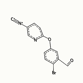 [C-]#[N+]c1ccc(Oc2ccc(Br)c(C=O)c2)nc1